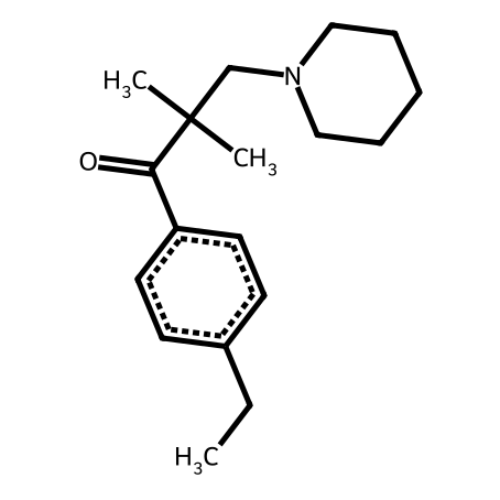 CCc1ccc(C(=O)C(C)(C)CN2CCCCC2)cc1